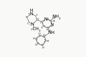 CN1CCNCC1c1cc(Nc2ccccc2)nc(N)n1